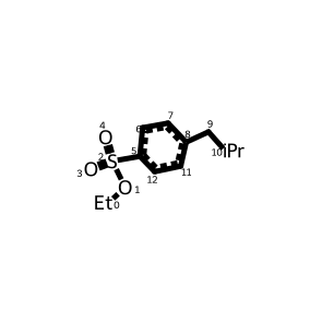 CCOS(=O)(=O)c1ccc(CC(C)C)cc1